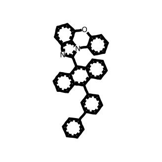 c1ccc(-c2cccc(-c3c4ccccc4c(-c4nc5cccc6c5n4-c4ccccc4O6)c4ccccc34)c2)cc1